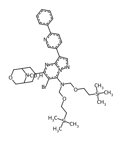 C[Si](C)(C)CCOCN(COCC[Si](C)(C)C)c1c(Br)c(C2CC3COCC(C2)N3C(=O)O)nc2c(-c3ccc(-c4ccccc4)nc3)cnn12